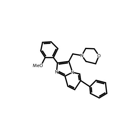 COc1ccccc1-c1nc2ccc(-c3ccccc3)cn2c1CN1CCOCC1